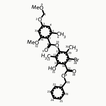 COCOc1cc(C)c(C(=O)Oc2c(C)c(O)c(C(=O)OCc3ccccc3)c(Br)c2C)c(OC)c1